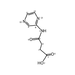 O=C(O)CCC(=O)Nc1cnccn1